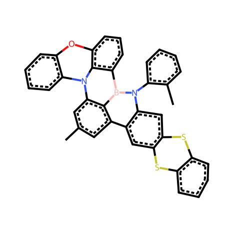 Cc1cc2c3c(c1)N1c4ccccc4Oc4cccc(c41)B3N(c1ccccc1C)c1cc3c(cc1-2)Sc1ccccc1S3